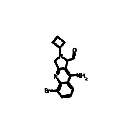 Nc1c2c(nc3c(Br)cccc13)CN(C1CCC1)C2C=O